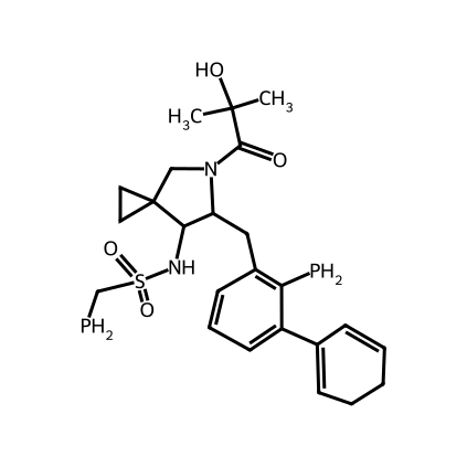 CC(C)(O)C(=O)N1CC2(CC2)C(NS(=O)(=O)CP)C1Cc1cccc(C2=CCCC=C2)c1P